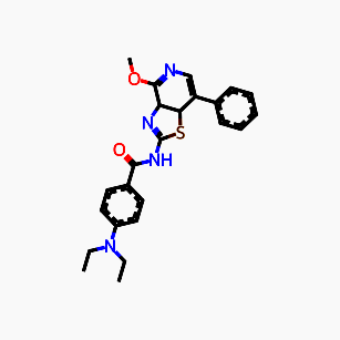 CCN(CC)c1ccc(C(=O)NC2=NC3C(OC)=NC=C(c4ccccc4)C3S2)cc1